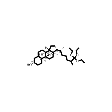 CCOC(OCC)(OCC)C(C)CCC[C@@H](C)[C@H]1CC[C@H]2[C@@H]3CC=C4C[C@@H](O)CC[C@]4(C)[C@H]3CC[C@]12C